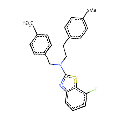 CSc1ccc(CCN(Cc2ccc(C(=O)O)cc2)c2nc3cccc(F)c3s2)cc1